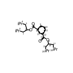 CC(C)CC(CC(C)C)OC(=O)c1cccc(C(=O)OC(CC(C)C)CC(C)C)c1